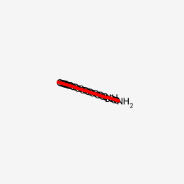 CCOCOCOOOOOCOCOOCCOCCOCCOCCOCCOCCOCCOCCOCCOCCOCCOCCOCCOCCOCCC(=O)NCCCOCCOCCOCCCN